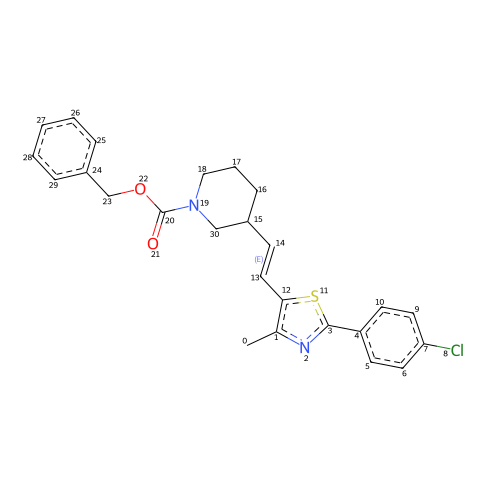 Cc1nc(-c2ccc(Cl)cc2)sc1/C=C/C1CCCN(C(=O)OCc2ccccc2)C1